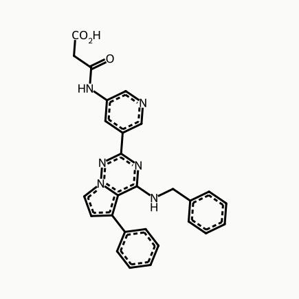 O=C(O)CC(=O)Nc1cncc(-c2nc(NCc3ccccc3)c3c(-c4ccccc4)ccn3n2)c1